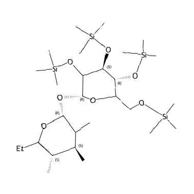 CCC1O[C@H](O[C@H]2OC(CO[Si](C)(C)C)[C@@H](O[Si](C)(C)C)[C@H](O[Si](C)(C)C)C2O[Si](C)(C)C)C(C)[C@@H](C)[C@@H]1C